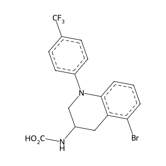 O=C(O)NC1Cc2c(Br)cccc2N(c2ccc(C(F)(F)F)cc2)C1